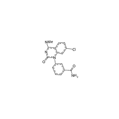 CNc1nc(=O)n(-c2cccc(C(N)=O)c2)c2cc(Cl)ccc12